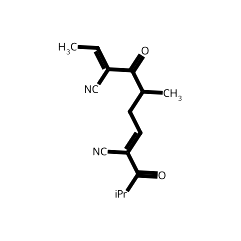 C/C=C(\C#N)C(=O)C(C)C/C=C(\C#N)C(=O)C(C)C